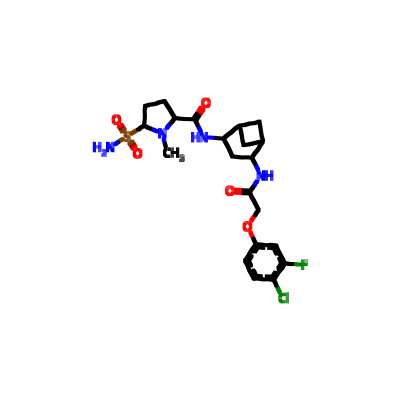 CN1C(C(=O)NC2CC(NC(=O)COc3ccc(Cl)c(F)c3)C3CC2C3)CCC1S(N)(=O)=O